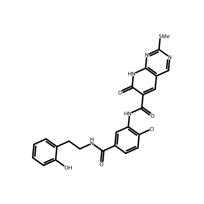 CSc1ncc2cc(C(=O)Nc3cc(C(=O)NCCc4ccccc4O)ccc3Cl)c(=O)[nH]c2n1